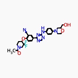 CC(=O)N1CCC(Oc2ccc(-c3ncnc(Nc4ccc(N5CCOC(CO)C5)cc4)n3)cc2C#N)C(F)(F)C1